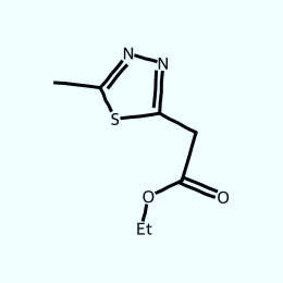 CCOC(=O)Cc1nnc(C)s1